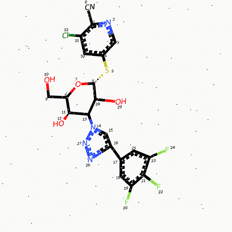 N#Cc1ncc(S[C@H]2OC(CO)[C@H](O)C(n3cc(-c4cc(F)c(F)c(F)c4)nn3)C2O)cc1Cl